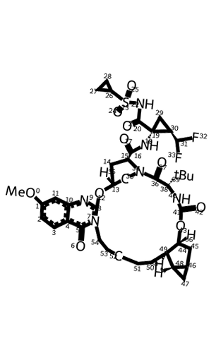 COc1ccc2c(=O)n3c(nc2c1)O[C@@H]1C[C@@H](C(=O)N[C@]2(C(=O)NS(=O)(=O)C4CC4)C[C@H]2C(F)F)N(C1)C(=O)[C@H](C(C)(C)C)NC(=O)O[C@@H]1CC2C[C@@H]2[C@H]1CCCCC3